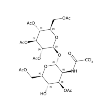 CC(=O)OC[C@H]1O[C@H](O[C@@H]2O[C@H](COC(C)=O)[C@@H](OC(C)=O)[C@H](OC(C)=O)[C@H]2OC(C)=O)[C@@H](NC(=O)C(Cl)(Cl)Cl)[C@@H](OC(C)=O)[C@@H]1O